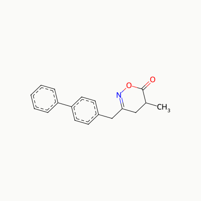 CC1CC(Cc2ccc(-c3ccccc3)cc2)=NOC1=O